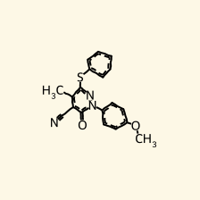 COc1ccc(-n2nc(Sc3ccccc3)c(C)c(C#N)c2=O)cc1